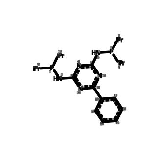 CC(C)P(Nc1nc(NP(C(C)C)C(C)C)nc(-c2ccccc2)n1)C(C)C